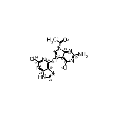 CC(=O)n1cnc2c(Cl)nc(N)nc21.Clc1nc(Cl)c2nc[nH]c2n1